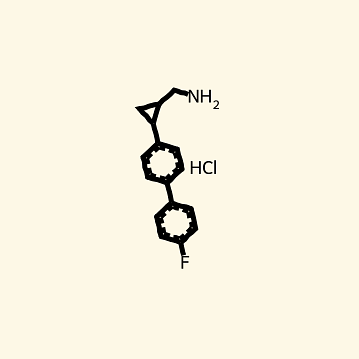 Cl.NCC1CC1c1ccc(-c2ccc(F)cc2)cc1